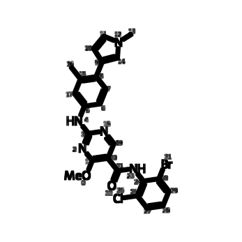 COc1nc(Nc2ccc(-c3ccn(C)c3)c(C)c2)ncc1C(=O)Nc1c(Cl)cccc1Br